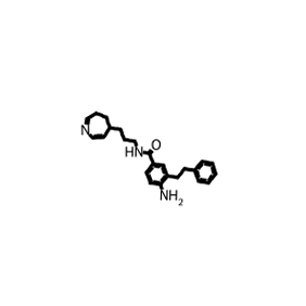 Nc1ccc(C(=O)NCCCC2C=CN=CCC2)cc1CCc1ccccc1